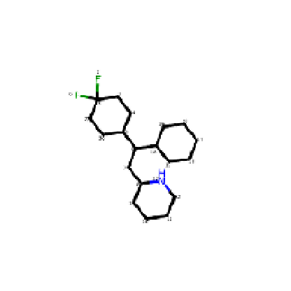 FC1(F)CCC(C(CC2CCCCN2)C2CCCCC2)CC1